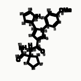 COc1ccc(-n2nc(C(=O)NC3(C(N)=O)CCCC3)cc2-c2ccc[nH]2)cn1